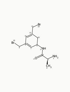 C[C@H](N)C(=O)NC1C=C(CBr)C=C(CBr)C1